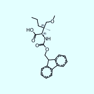 CCC[C@@](C)(COC)[C@@H](NC(=O)OCC1c2ccccc2-c2ccccc21)C(=O)O